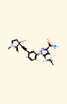 C=C1N(C)CCC1(O)C#Cc1cccc(-n2nc(C(N)=O)c3sc(C)nc32)c1